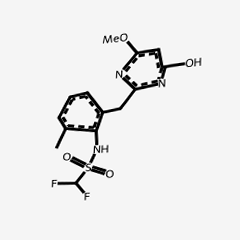 COc1cc(O)nc(Cc2cccc(C)c2NS(=O)(=O)C(F)F)n1